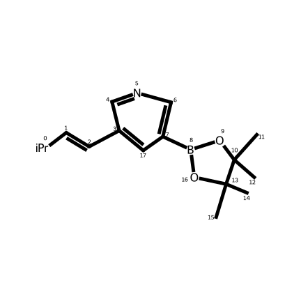 CC(C)C=Cc1cncc(B2OC(C)(C)C(C)(C)O2)c1